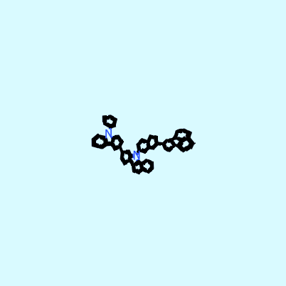 c1ccc(-n2c3ccccc3c3cc(-c4ccc5c6ccc7ccccc7c6n(-c6ccc7ccc(-c8ccc9c(c8)-c8cccc%10cccc-9c8%10)cc7c6)c5c4)ccc32)cc1